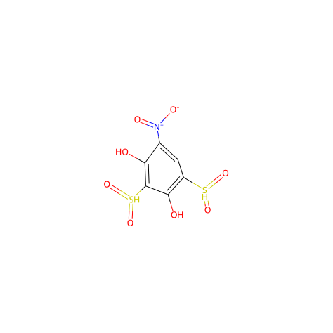 O=[N+]([O-])c1cc([SH](=O)=O)c(O)c([SH](=O)=O)c1O